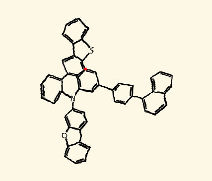 c1cc(-c2ccc(-c3cccc4ccccc34)cc2)cc(N(c2ccc3c(c2)oc2ccccc23)c2ccccc2-c2ccc3sc4ccccc4c3c2)c1